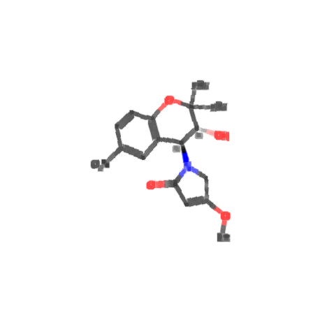 CCCCC1(CCCC)Oc2ccc([N+](=O)[O-])cc2[C@H](N2CC(OCC)=CC2=O)[C@H]1O